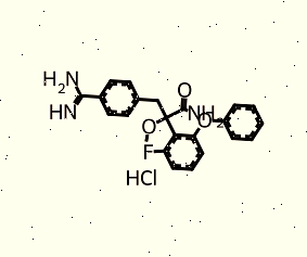 COC(Cc1ccc(C(=N)N)cc1)(C(N)=O)c1c(F)cccc1Oc1ccccc1.Cl